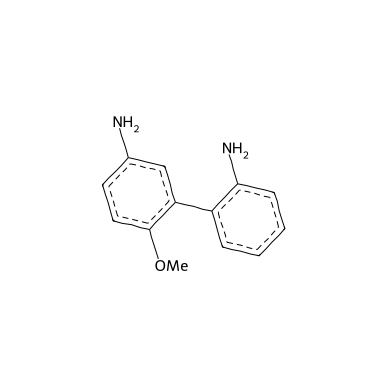 COc1ccc(N)cc1-c1ccccc1N